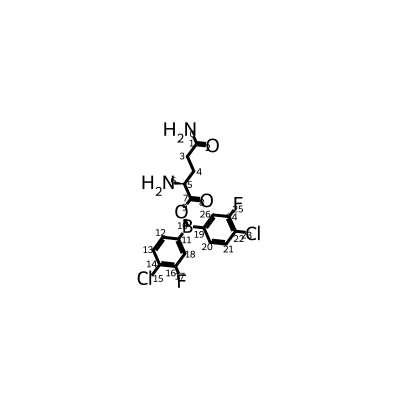 NC(=O)CC[C@H](N)C(=O)OB(c1ccc(Cl)c(F)c1)c1ccc(Cl)c(F)c1